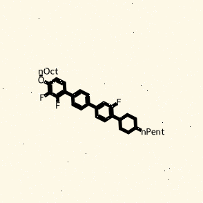 CCCCCCCCOc1ccc(-c2ccc(-c3ccc(C4CCC(CCCCC)CC4)c(F)c3)cc2)c(F)c1F